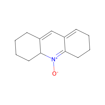 [O-][N+]1=C2CCCC=C2C=C2CCCCC21